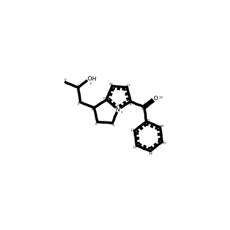 CC(O)CC1CCn2c(C(=O)c3ccccc3)ccc21